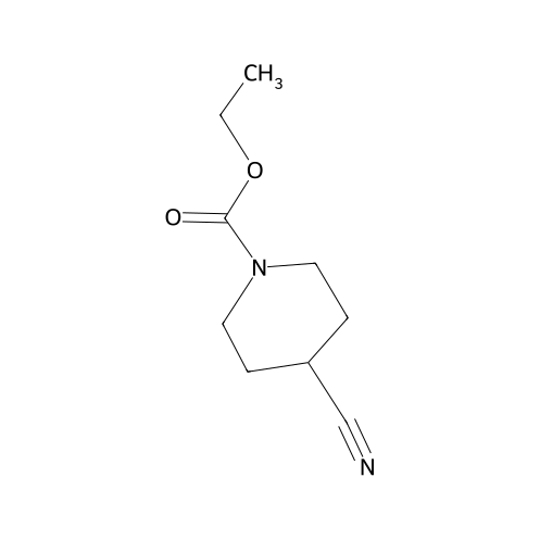 CCOC(=O)N1CCC(C#N)CC1